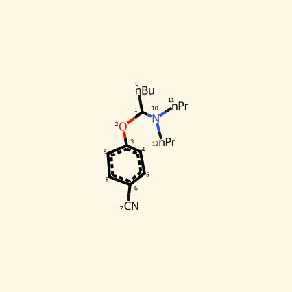 CCCCC(Oc1ccc(C#N)cc1)N(CCC)CCC